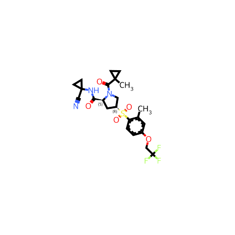 Cc1cc(OCC(F)(F)F)ccc1S(=O)(=O)[C@@H]1C[C@@H](C(=O)NC2(C#N)CC2)N(C(=O)C2(C)CC2)C1